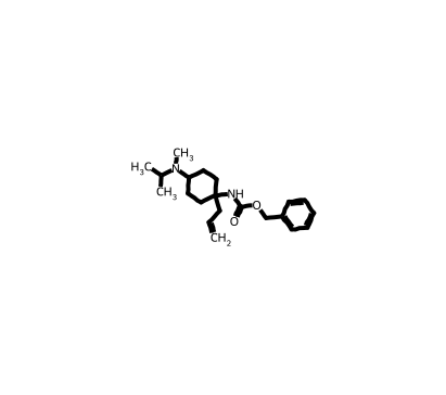 C=CCC1(NC(=O)OCc2ccccc2)CCC(N(C)C(C)C)CC1